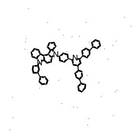 c1ccc(-c2ccc(-c3cc(-c4ccc(-c5ccccc5)cc4)nc(-c4ccc(-n5c6ccccc6c6c7c8ccccc8n(-c8cccc(-c9ccccc9)c8)c7ccc65)cc4)c3)cc2)cc1